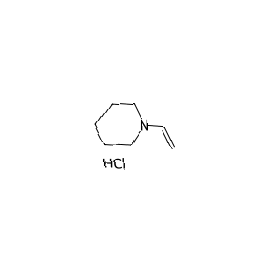 C=CN1CCCCC1.Cl